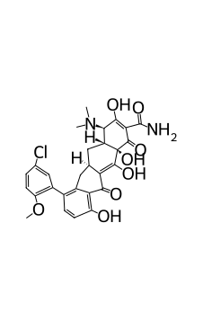 COc1ccc(Cl)cc1-c1ccc(O)c2c1C[C@H]1C[C@@H]3[C@@H](N(C)C)C(O)=C(C(N)=O)C(=O)[C@]3(O)C(O)=C1C2=O